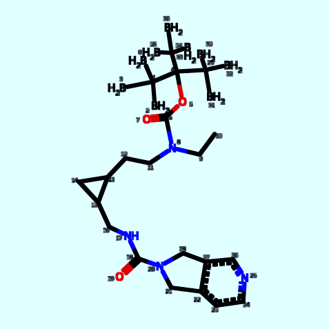 BC(B)(B)C(OC(=O)N(CC)CCC1CC1CNC(=O)N1Cc2ccncc2C1)(C(B)(B)B)C(B)(B)B